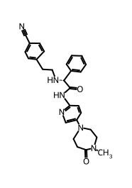 CN1CCN(c2ccc(NC(=O)[C@H](NCCc3ccc(C#N)cc3)c3ccccc3)nc2)CCC1=O